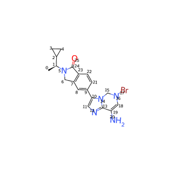 C[C@@H](C1CC1)N1Cc2cc(-c3cnc4n3CN(Br)C=C4N)ccc2C1=O